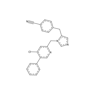 N#Cc1ccc(Cc2cncn2Cc2cc(Cl)c(-c3ccccc3)cn2)cc1